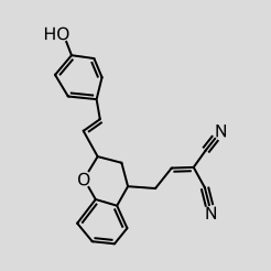 N#CC(C#N)=CCC1CC(C=Cc2ccc(O)cc2)Oc2ccccc21